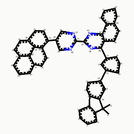 CC1(C)c2ccccc2-c2ccc(-c3cccc(-c4nc(-c5ncc(-c6ccc7ccc8cccc9ccc6c7c89)cn5)nc5c4ccc4ccccc45)c3)cc21